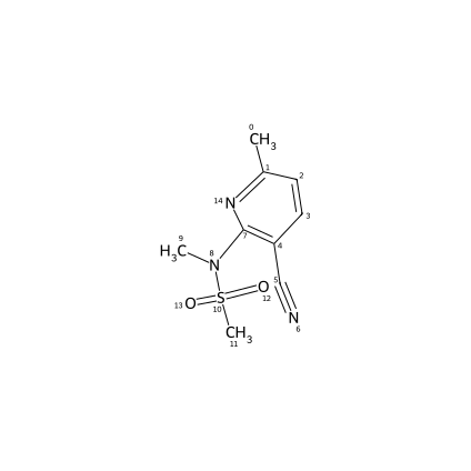 Cc1ccc(C#N)c(N(C)S(C)(=O)=O)n1